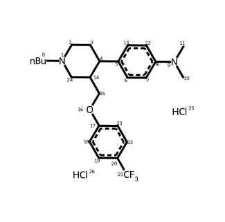 CCCCN1CCC(c2ccc(N(C)C)cc2)C(COc2ccc(C(F)(F)F)cc2)C1.Cl.Cl